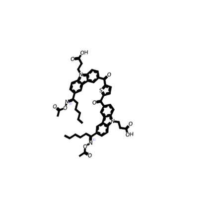 CCCCC/C(=N\OC(C)=O)c1ccc2c(c1)c1cc(C(=O)c3ccc(C(=O)c4ccc5c(c4)c4cc(/C(CCCCC)=N/OC(C)=O)ccc4n5CCC(=O)O)s3)ccc1n2CCC(=O)O